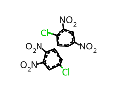 O=[N+]([O-])c1ccc(Cl)c([N+](=O)[O-])c1.O=[N+]([O-])c1ccc(Cl)cc1[N+](=O)[O-]